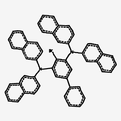 Brc1c(N(c2ccc3ccccc3c2)c2ccc3ccccc3c2)cc(-c2ccccc2)cc1N(c1ccc2ccccc2c1)c1ccc2ccccc2c1